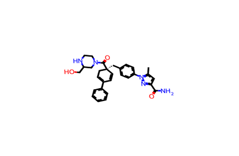 Cc1cc(C(N)=O)nn1-c1ccc(C[C@]2(C(=O)N3CCNC(CO)C3)C=CC(c3ccccc3)=CC2)cc1